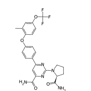 Cc1cc(OC(F)(F)F)ccc1Oc1ccc(-c2cc(C(N)=O)nc(N3CCC[C@H]3C(N)=O)n2)cc1